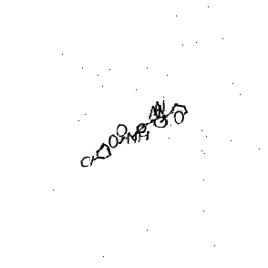 O=C(COc1ccc(Cl)cc1)NC12CC(c3nnc([C@H]4CCCO4)o3)(C1)C2